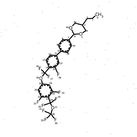 CCCC1COC(c2ccc(-c3ccc(C(F)(F)Oc4cc(F)c(C(F)(F)OC(F)(F)F)c(F)c4)c(F)c3)cc2)OC1